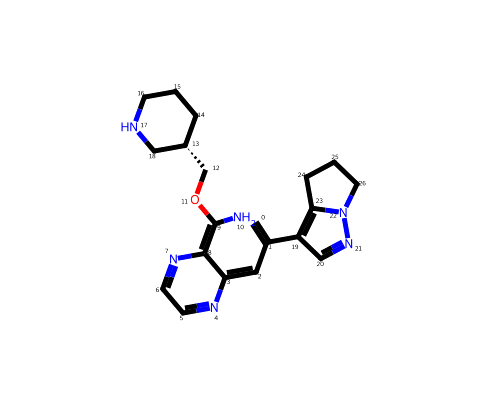 C=C(/C=c1/nccn/c1=C(/N)OC[C@H]1CCCNC1)c1cnn2c1CCC2